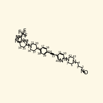 O=NCCCN1CCN(c2ccc(C#Cc3ccc(C4CCN(C5=Nn6c(nnc6C(F)(F)F)CC5)CC4)cc3)cn2)CC1